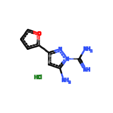 Cl.N=C(N)n1nc(-c2ccco2)cc1N